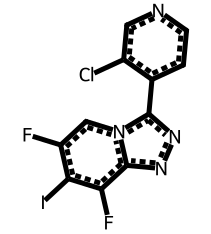 Fc1cn2c(-c3ccncc3Cl)nnc2c(F)c1I